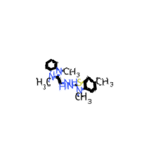 Cc1ccc2c(c1)SC(NNC=C1N(C)c3ccccc3N1C)N2C